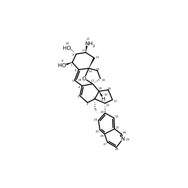 C[C@]12CC=C3C=C4[C@@H](O)[C@H](O)[C@@H](N)C[C@]45CC[C@]3(O5)[C@@H]1CC[C@@H]2c1ccc2ccncc2c1